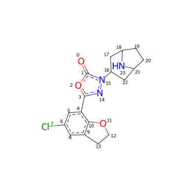 O=c1oc(-c2cc(Cl)cc3c2OCC3)nn1C1CC2CCC(C1)N2